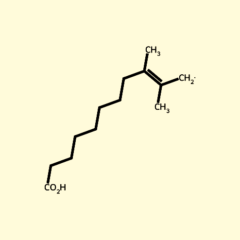 [CH2]C(C)=C(C)CCCCCCCC(=O)O